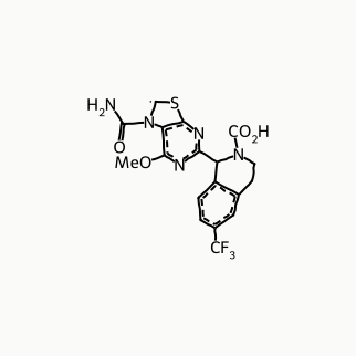 COc1nc(C2c3ccc(C(F)(F)F)cc3CCN2C(=O)O)nc2c1N(C(N)=O)[CH]S2